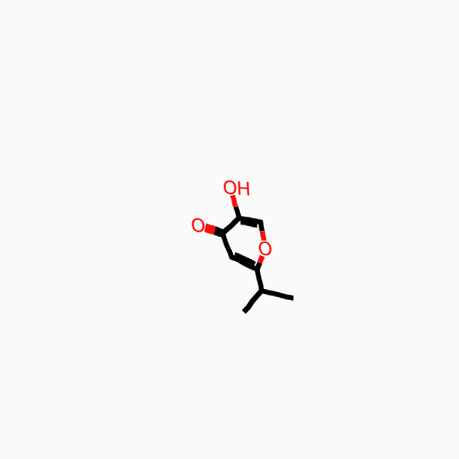 CC(C)c1cc(=O)c(O)co1